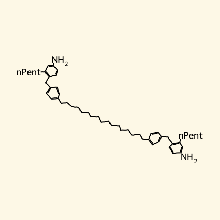 CCCCCc1cc(N)ccc1Cc1ccc(CCCCCCCCCCCCCCCCCc2ccc(Cc3ccc(N)cc3CCCCC)cc2)cc1